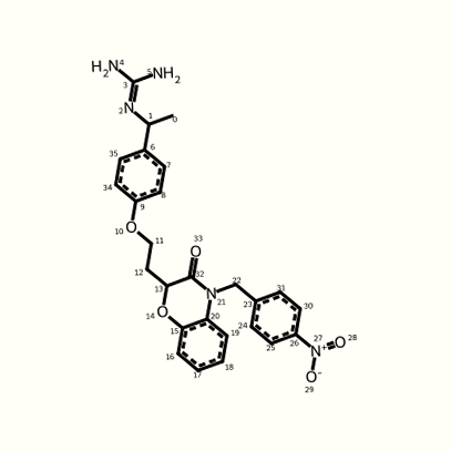 CC(N=C(N)N)c1ccc(OCCC2Oc3ccccc3N(Cc3ccc([N+](=O)[O-])cc3)C2=O)cc1